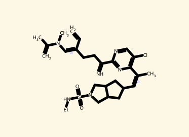 C=C/C(=C\N(C)C(=C)C)CCC(=N)c1ncc(Cl)c(/C(C)=C\C2CC3CN(S(=O)(=O)NCC)CC3C2)n1